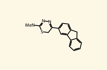 CNC1=NN=C(c2ccc3c(c2)-c2ccccc2C3)CS1